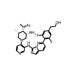 CC(=O)N(C)[C@@H]1[C@H](N)CN(c2ccncc2Nc2ncc3ccc(-c4c(F)cc(CCO)cc4F)nn23)C[C@@H]1C